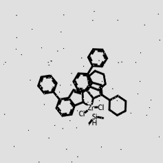 C[SiH](C)[Zr]([Cl])([Cl])([CH]1C(C2CCCCC2)=Cc2c(-c3ccccc3)cccc21)[CH]1C(C2CCCCC2)=Cc2c(-c3ccccc3)cccc21